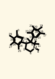 Cc1cc(C2CCN(C)C(C)(C)C2(C)c2cc(C)c(C)c(C)c2C)c(C)c(C)c1C